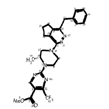 COC(=O)c1cnc(N2CCN(c3nnc(Cc4ccccc4)c4c3CCC4)C[C@H]2C)nc1C(F)(F)F